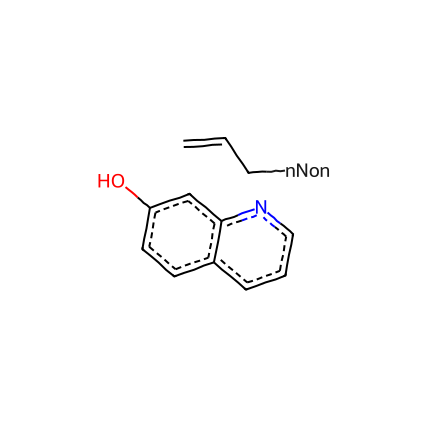 C=CCCCCCCCCCC.Oc1ccc2cccnc2c1